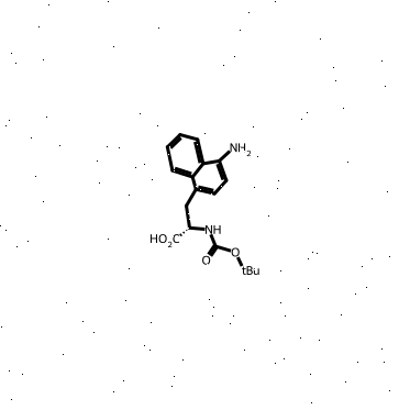 CC(C)(C)OC(=O)N[C@@H](Cc1ccc(N)c2ccccc12)C(=O)O